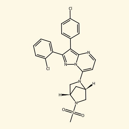 CS(=O)(=O)N1C[C@@H]2C[C@H]1CN2c1ccnc2c(-c3ccc(Cl)cc3)c(-c3ccccc3Cl)nn12